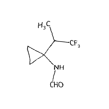 CC(C(F)(F)F)C1(NC=O)CC1